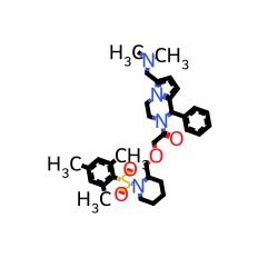 Cc1cc(C)c(S(=O)(=O)N2CCCCC2COCC(=O)N2CCn3c(CN(C)C)ccc3C2c2ccccc2)c(C)c1